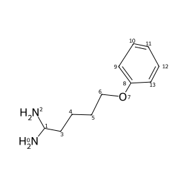 NC(N)CCCCOc1ccccc1